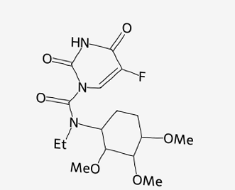 CCN(C(=O)n1cc(F)c(=O)[nH]c1=O)C1CCC(OC)C(OC)C1OC